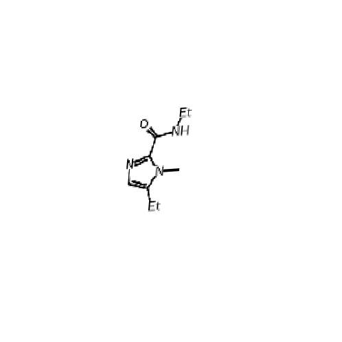 CCNC(=O)c1ncc(CC)n1C